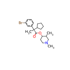 CC1CN(C)CCC1OC(=O)C(C)(c1cccc(Br)c1)C1CCCC1